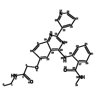 CCNC(=O)COc1ccc2nc(-c3cccnc3)nc(Nc3ccccc3C(=O)NC)c2c1